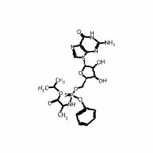 CC(C)OC(=O)C(C)NP(=S)(OC[C@H]1O[C@@H](n2cnc3c(=O)[nH]c(N)nc32)C(O)C1O)Oc1ccccc1